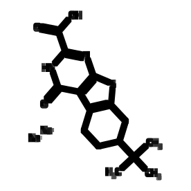 CC(C)(C)C1CCc2c(sc3nc(C(=O)O)[nH]c(=O)c23)C1.[Na].[Na]